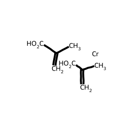 C=C(C)C(=O)O.C=C(C)C(=O)O.[Cr]